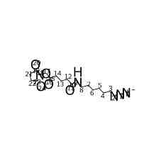 [N-]=[N+]=NCCCCCCNC(=O)CCCC(=O)ON1C(=O)CCC1=O